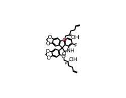 C=CCC[C@@H](O)COc1cc2c(cc1C1(c3cc4c(cc3OC[C@H](O)CCC=C)OCO4)C(=O)Nc3c(F)cccc31)OCO2